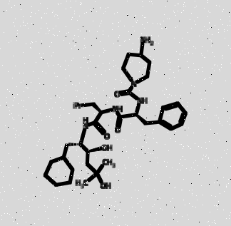 CC(C)C[C@@H](NC(=O)[C@H](Cc1ccccc1)NC(=O)N1CCC(N)CC1)C(=O)N[C@@H](CC1CCCCC1)[C@@H](O)CC(C)(C)O